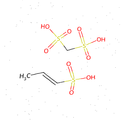 CC=CS(=O)(=O)O.O=S(=O)(O)CS(=O)(=O)O